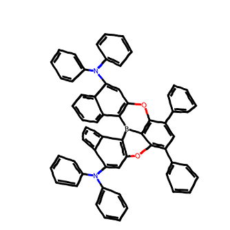 c1ccc(-c2cc(-c3ccccc3)c3c4c2Oc2cc(N(c5ccccc5)c5ccccc5)c5ccccc5c2B4c2c(cc(N(c4ccccc4)c4ccccc4)c4ccccc24)O3)cc1